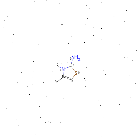 CC1=CSC(N)N1C